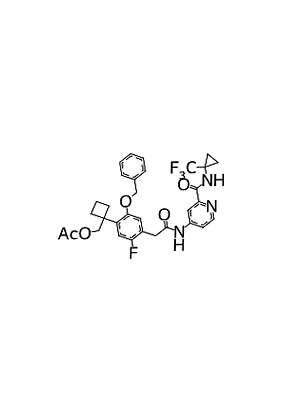 CC(=O)OCC1(c2cc(F)c(CC(=O)Nc3ccnc(C(=O)NC4(C(F)(F)F)CC4)c3)cc2OCc2ccccc2)CCC1